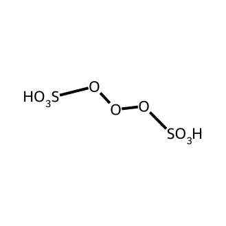 O=S(=O)(O)OOOS(=O)(=O)O